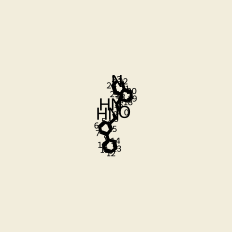 O=C(NCc1cccc(-c2ccccc2)c1)Nc1cccc2cnccc12